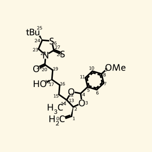 C=C[C@@H]1OC(c2ccc(OC)cc2)O[C@]1(C)CC[C@@H](O)CC(=O)N1C[C@@H](C(C)(C)C)SC1=S